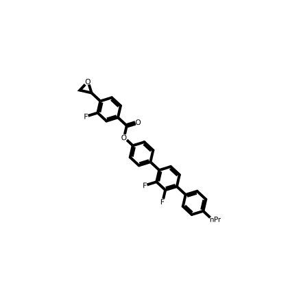 CCCc1ccc(-c2ccc(-c3ccc(OC(=O)c4ccc(C5CO5)c(F)c4)cc3)c(F)c2F)cc1